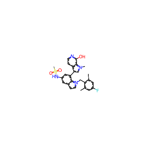 Cc1cc(F)cc(C)c1Cn1ccc2cc(NS(C)(=O)=O)cc(-c3cn(C)c4c(O)nccc34)c21